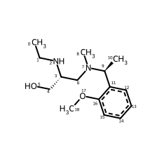 CCN[C@@H](CO)CN(C)[C@@H](C)c1ccccc1OC